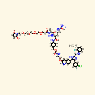 CC(C)[C@H](NC(=O)CCOCCOCCOCCOCCN1C(=O)C=CC1=O)C(=O)N[C@@H](CCCNC(N)=O)C(=O)Nc1ccc(COC(=O)NCCOc2cnc3ccc(-c4[nH]c(CNc5cccc(C(=O)O)c5F)nc4-c4ccc(F)c(Cl)c4)cc3c2)cc1